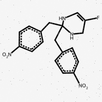 O=[N+]([O-])c1ccc(CC2(Cc3ccc([N+](=O)[O-])cc3)NC=C(F)CN2)cc1